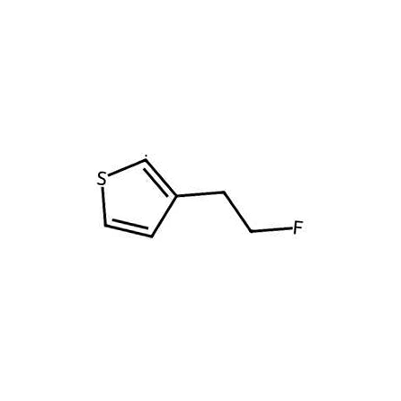 FCCc1[c]scc1